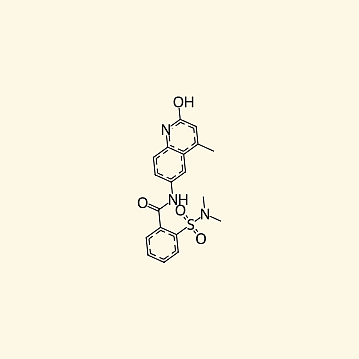 Cc1cc(O)nc2ccc(NC(=O)c3ccccc3S(=O)(=O)N(C)C)cc12